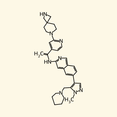 C=C(Nc1cc2cc(-c3cnn(C)c3CN3CCCCC3)ccc2cn1)c1ccnc(N2CCC3(CC2)CNC3)c1